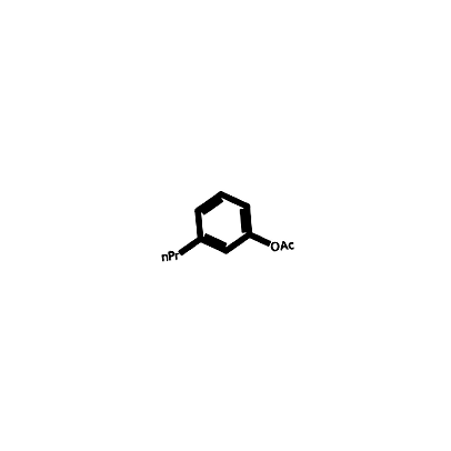 C[CH]Cc1cccc(OC(C)=O)c1